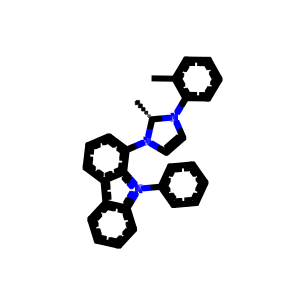 Cc1ccccc1N1C=CN(c2cccc3c4ccccc4n(-c4ccccc4)c23)[C@@H]1C